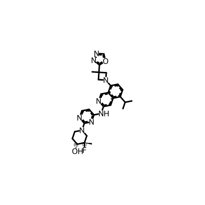 CC(C)c1ccc(N2CC(C)(c3nnco3)C2)c2cnc(Nc3ccnc(N4CC[C@@H](O)[C@@](C)(F)C4)n3)cc12